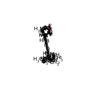 CC[C@H](NC(=O)[C@H]1C[C@@H](NC(=O)CCOCCOCCC(=O)NCCn2nc3c(c2C#N)-c2cnc(N)c(c2)N2CCC[C@@H]2c2cc(F)ccc2C(=O)N(C2CC2)C3)CN1C(=O)[C@H](NC(=O)[C@@H](C)NC)C(C)(C)C)c1ccccc1